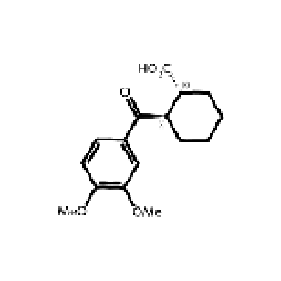 COc1ccc(C(=O)[C@@H]2CCCC[C@H]2C(=O)O)cc1OC